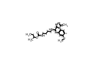 CCC(C)OC(=O)NCCCCNc1nc2cc(OC)ccc2n2c(C)nnc12